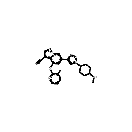 CNC1CCC(n2cc(-c3cc(Sc4ncccc4F)c4c(C#N)cnn4c3)nn2)CC1